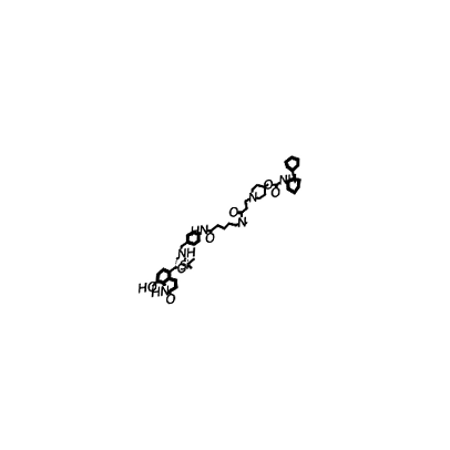 CN(CCCCC(=O)Nc1ccc(CNC[C@H](O[Si](C)(C)C)c2ccc(O)c3[nH]c(=O)ccc23)cc1)C(=O)CCN1CCC(OC(=O)Nc2ccccc2-c2ccccc2)CC1